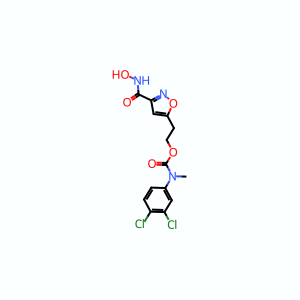 CN(C(=O)OCCc1cc(C(=O)NO)no1)c1ccc(Cl)c(Cl)c1